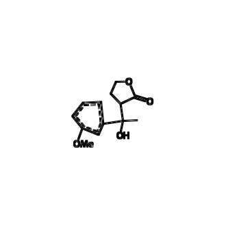 COc1cccc(C(C)(O)C2CCOC2=O)c1